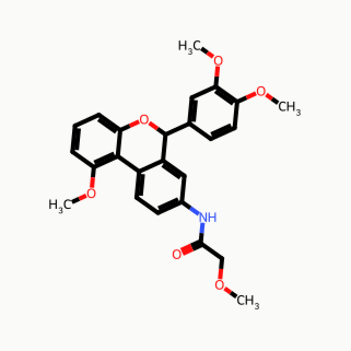 COCC(=O)Nc1ccc2c(c1)C(c1ccc(OC)c(OC)c1)Oc1cccc(OC)c1-2